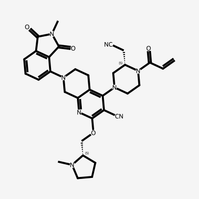 C=CC(=O)N1CCN(c2c(C#N)c(OC[C@@H]3CCCN3C)nc3c2CCN(c2cccc4c2C(=O)N(C)C4=O)C3)C[C@@H]1CC#N